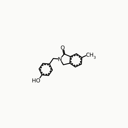 Cc1ccc2c(c1)C(=O)N(Cc1ccc(O)cc1)C2